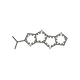 CC(C)c1cc2sc3c4sccc4sc3c2s1